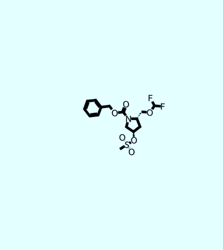 CS(=O)(=O)O[C@@H]1C[C@@H](COC(F)F)N(C(=O)OCc2ccccc2)C1